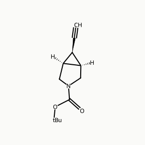 C#C[C@H]1[C@H]2CN(C(=O)OC(C)(C)C)C[C@@H]12